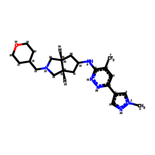 Cn1cc(-c2cc(C(F)(F)F)c(NC3C[C@@H]4CN(CC5CCOCC5)C[C@@H]4C3)nn2)cn1